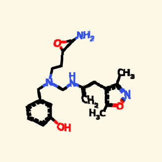 C=C(Cc1c(C)noc1C)NCN(CCC1OC1N)Cc1cccc(O)c1